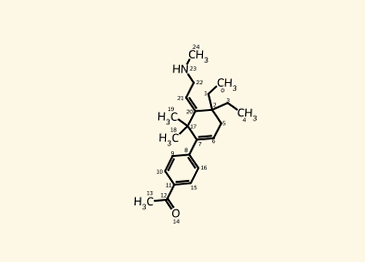 CCC1(CC)CC=C(c2ccc(C(C)=O)cc2)C(C)(C)/C1=C/CNC